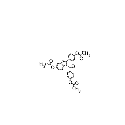 CC(=O)Oc1ccc(C(=O)c2c(-c3ccc(OC(C)=O)cc3)sc3cc(OC(C)=O)ccc23)cc1